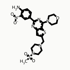 CS(=O)(=O)N1CCN(Cc2cc3nc(-c4ccc(N)c([N+](=O)[O-])c4)nc(N4CCOCC4)c3s2)CC1